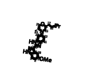 COc1ccc2[nH]nc(-c3nc4ccc(N5C[C@H](C[CH]C(C)C)OC[C@H]5C)cc4[nH]3)c2c1